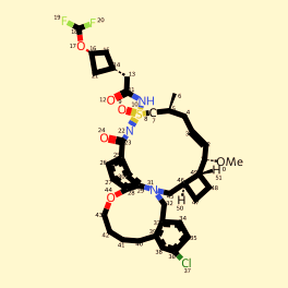 CO[C@H]1/C=C/C[C@H](C)CS(=O)(NC(=O)C[C@H]2C[C@@H](OC(F)F)C2)=NC(=O)c2ccc3c(c2)N(Cc2ccc(Cl)cc2CCCCO3)C[C@@H]2CC[C@H]21